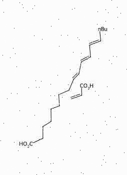 C=CC(=O)O.CCCCC=CC=CC=CCCCCCCCC(=O)O